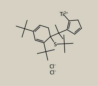 CC(C)(C)SC1(C(C)(C)C2=[C]([Ti+2])CC=C2)CC=C(C(C)(C)C)C=C1C(C)(C)C.[Cl-].[Cl-]